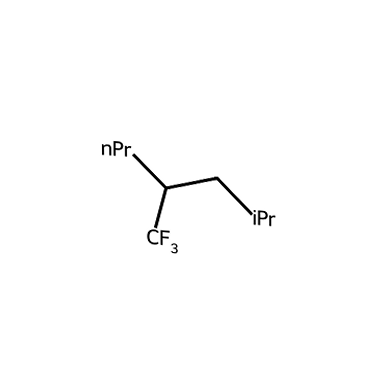 C[CH]CC(CC(C)C)C(F)(F)F